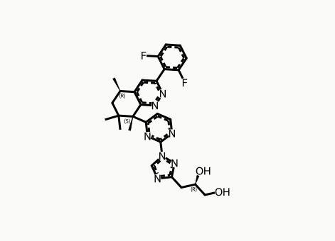 C[C@@H]1CC(C)(C)[C@@](C)(c2ccnc(-n3cnc(C[C@@H](O)CO)n3)n2)c2nnc(-c3c(F)cccc3F)cc21